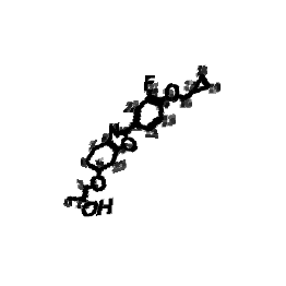 CC(O)COC1CCc2nc(-c3ccc(OCC4CC4)c(F)c3)oc2C1